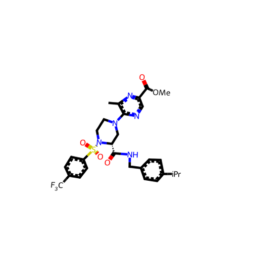 COC(=O)c1cnc(N2CCN(S(=O)(=O)c3ccc(C(F)(F)F)cc3)[C@@H](C(=O)NCc3ccc(C(C)C)cc3)C2)c(C)n1